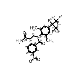 Cc1cc(C(F)(C(F)(F)F)C(F)(F)F)cc(C)c1N(CCC(N)=O)C(=O)c1cccc([N+](=O)[O-])c1